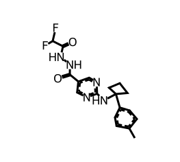 Cc1ccc(C2(Nc3ncc(C(=O)NNC(=O)C(F)F)cn3)CCC2)cc1